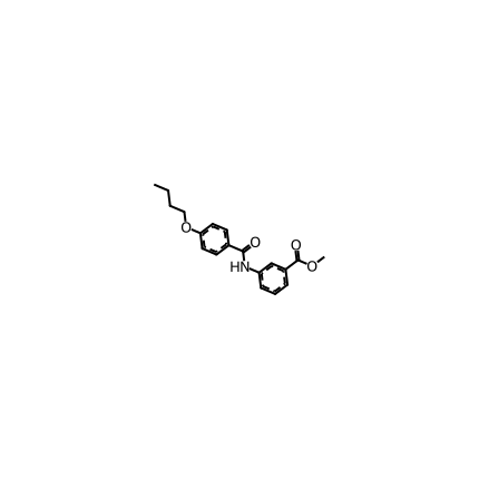 CCCCOc1ccc(C(=O)Nc2cccc(C(=O)OC)c2)cc1